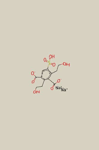 O=C([O-])c1cc(S(=O)(=O)O)c(CCO)c(C(=O)[O-])c1CCO.[Na+].[Na+]